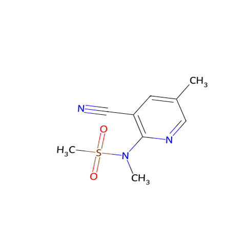 Cc1cnc(N(C)S(C)(=O)=O)c(C#N)c1